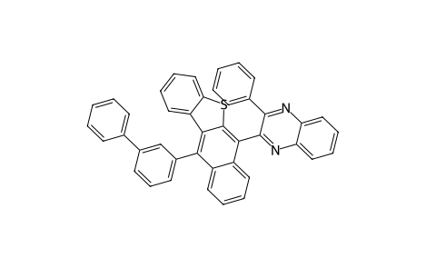 c1ccc(-c2cccc(-c3c4ccccc4c(-c4nc5ccccc5nc4-c4ccccc4)c4sc5ccccc5c34)c2)cc1